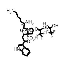 NCCCC[C@H](N)C(=O)N1CCC[C@]1(C(=O)O)C(CC(=O)c1c[nH]c2ccccc12)C(=O)O.O=C(O)C(F)(F)F.O=C(O)C(F)(F)F